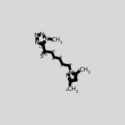 Cc1cc(C)n(CCCCCC(=S)c2nnnn2C)n1